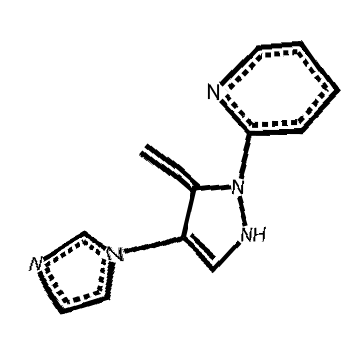 C=C1C(n2ccnc2)=CNN1c1ccccn1